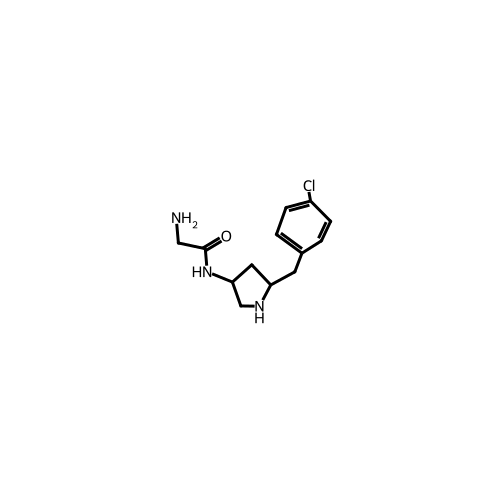 NCC(=O)NC1CNC(Cc2ccc(Cl)cc2)C1